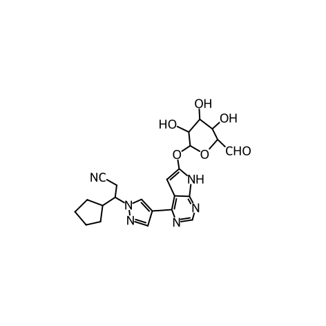 N#CCC(C1CCCC1)n1cc(-c2ncnc3[nH]c(OC4OC(C=O)C(O)C(O)C4O)cc23)cn1